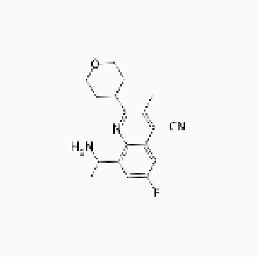 Cc1c(C2CCOCC2)nc2c(C(C)N)cc(F)cc2c1C#N